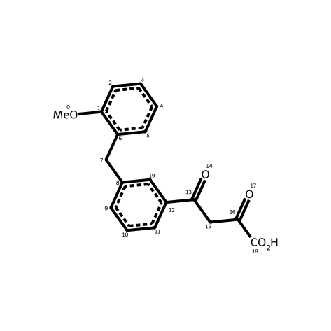 COc1ccccc1Cc1cccc(C(=O)CC(=O)C(=O)O)c1